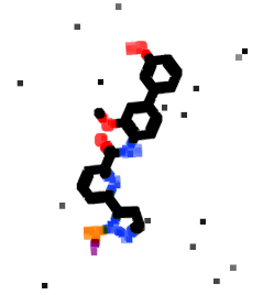 COc1cc(-c2cccc(O)c2)ccc1NC(=O)c1cccc(-c2ccnn2PI)n1